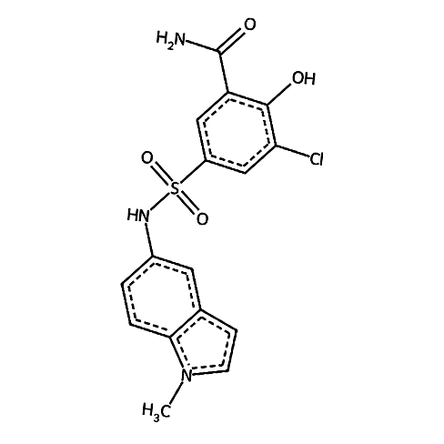 Cn1ccc2cc(NS(=O)(=O)c3cc(Cl)c(O)c(C(N)=O)c3)ccc21